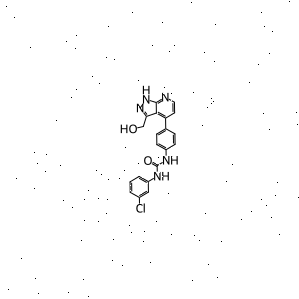 O=C(Nc1ccc(-c2ccnc3[nH]nc(CO)c23)cc1)Nc1cccc(Cl)c1